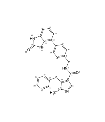 Cn1ncc(C(=O)NCc2ccc(-c3cccc4[nH]c(=O)[nH]c34)cc2)c1Cc1ccccc1